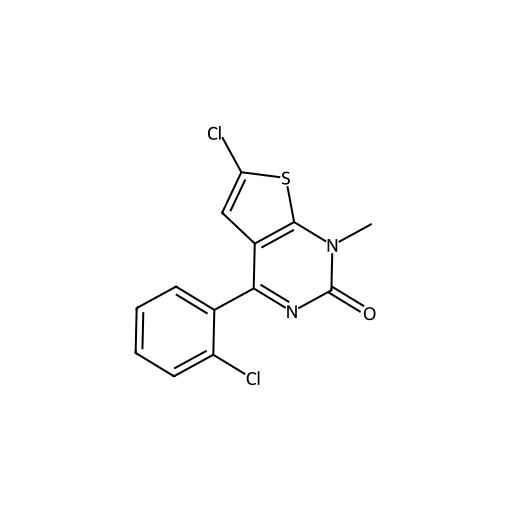 Cn1c(=O)nc(-c2ccccc2Cl)c2cc(Cl)sc21